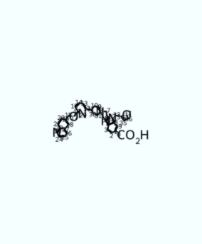 O=C(O)c1ccc2nc(CN3CCC(c4cccc(OCc5ccc6ncccc6c5)n4)CC3)n(C[C@@H]3CCO3)c2c1